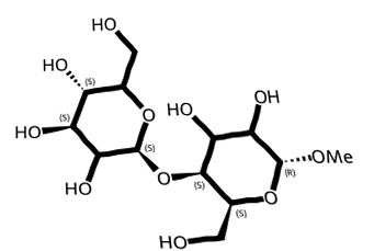 CO[C@@H]1O[C@@H](CO)[C@@H](O[C@@H]2OC(CO)[C@@H](O)[C@H](O)C2O)C(O)C1O